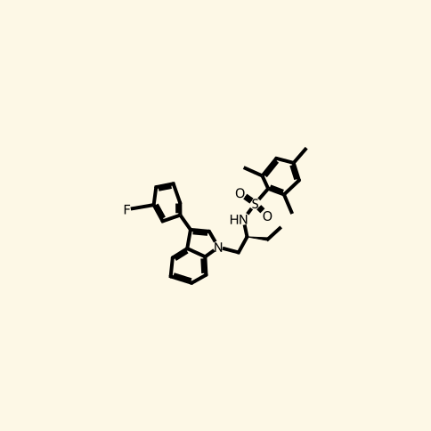 CC[C@@H](Cn1cc(-c2cccc(F)c2)c2ccccc21)NS(=O)(=O)c1c(C)cc(C)cc1C